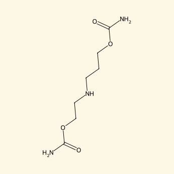 NC(=O)OCCCNCCOC(N)=O